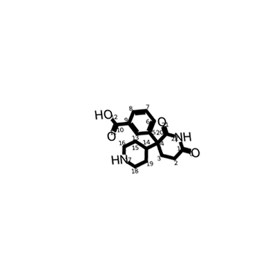 O=C1CCC(c2cccc(C(=O)O)c2)(C2CCNCC2)C(=O)N1